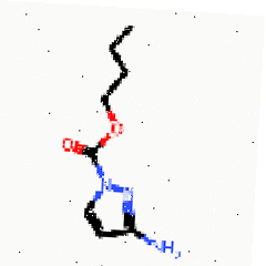 CCCCOC(=O)n1ccc(N)n1